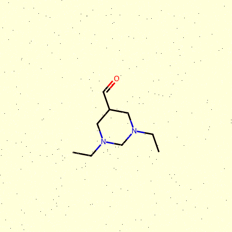 CCN1CC(C=O)CN(CC)C1